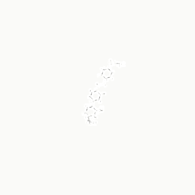 CCCCCCCc1ccc(CCc2ccc(-c3ccc(CCCC)cc3F)cc2)cc1